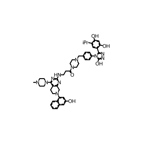 CC(C)c1cc(-c2nnc(O)n2-c2ccc(CN3CCN(C(=O)CCNc4nc5c(c(N6CCN(C)CC6)n4)CCN(c4cc(O)cc6ccccc46)C5)CC3)cc2)c(O)cc1O